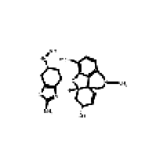 CCCN[C@H]1CCc2nc(N)sc2C1.COc1ccc2c3c1O[C@H]1C[C@@H](O)C=C[C@@]31CCN(C)C2